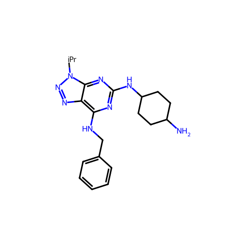 CC(C)n1nnc2c(NCc3ccccc3)nc(NC3CCC(N)CC3)nc21